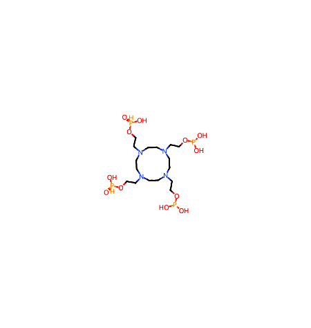 O=[PH](O)OCCN1CCN(CCOP(O)O)CCN(CCOP(O)O)CCN(CCO[PH](=O)O)CC1